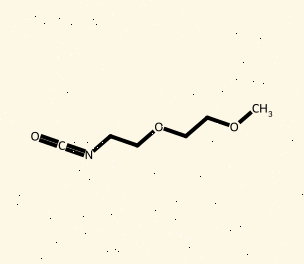 COCCOCCN=C=O